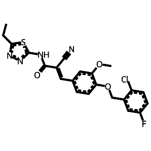 CCc1nnc(NC(=O)/C(C#N)=C/c2ccc(OCc3cc(F)ccc3Cl)c(OC)c2)s1